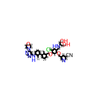 Cc1c(COc2cc(OCc3cncc(C#N)c3)c(CNC(CO)CO)cc2Cl)cccc1-c1cccc(Nc2cc(N3CCOCC3)ncn2)c1C